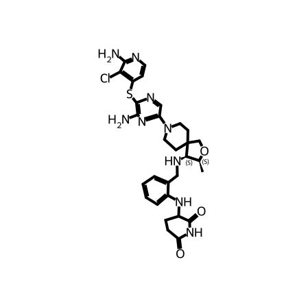 C[C@@H]1OCC2(CCN(c3cnc(Sc4ccnc(N)c4Cl)c(N)n3)CC2)[C@@H]1NCc1ccccc1NC1CCC(=O)NC1=O